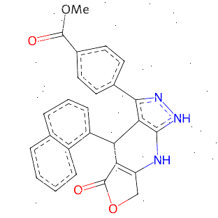 COC(=O)c1ccc(-c2n[nH]c3c2C(c2cccc4ccccc24)C2=C(COC2=O)N3)cc1